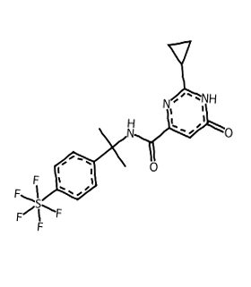 CC(C)(NC(=O)c1cc(=O)[nH]c(C2CC2)n1)c1ccc(S(F)(F)(F)(F)F)cc1